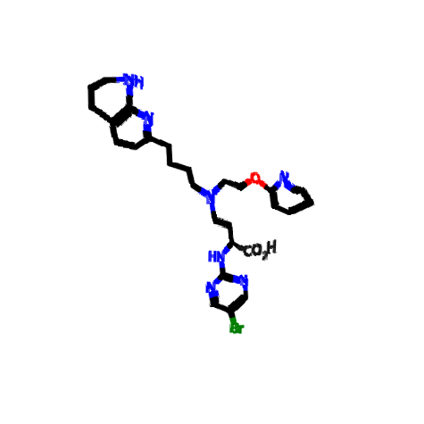 O=C(O)[C@H](CCN(CCCCc1ccc2c(n1)NCCC2)CCOc1ccccn1)Nc1ncc(Br)cn1